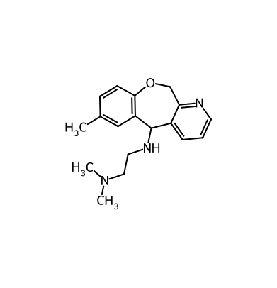 Cc1ccc2c(c1)C(NCCN(C)C)c1cccnc1CO2